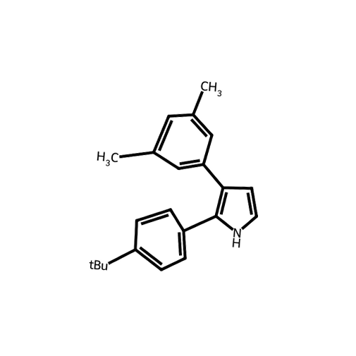 Cc1cc(C)cc(-c2cc[nH]c2-c2ccc(C(C)(C)C)cc2)c1